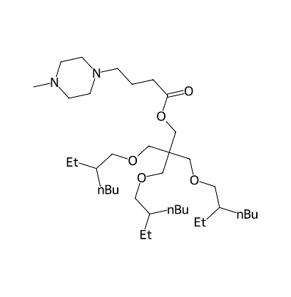 CCCCC(CC)COCC(COCC(CC)CCCC)(COCC(CC)CCCC)COC(=O)CCCN1CCN(C)CC1